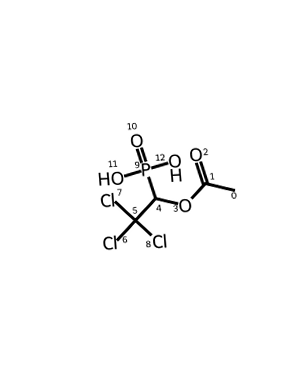 CC(=O)OC(C(Cl)(Cl)Cl)P(=O)(O)O